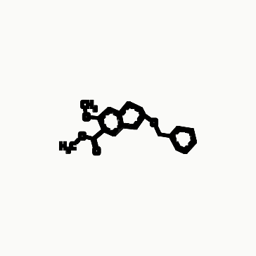 COC(=O)c1cc2cc(OCc3ccccc3)ccc2cc1OC